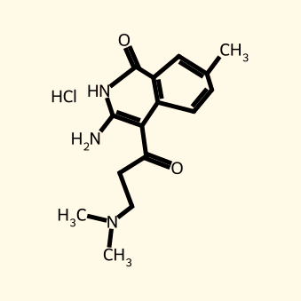 Cc1ccc2c(C(=O)CCN(C)C)c(N)[nH]c(=O)c2c1.Cl